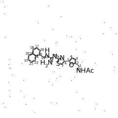 CC(=O)NCc1ccc(-c2csc(/N=C(\N)NCc3cccc4ccccc34)n2)o1